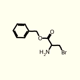 NC(CBr)C(=O)OCc1ccccc1